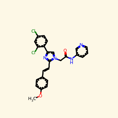 COc1ccc(/C=C/c2nc(-c3ccc(Cl)cc3Cl)cn2CC(=O)Nc2cccnc2)cc1